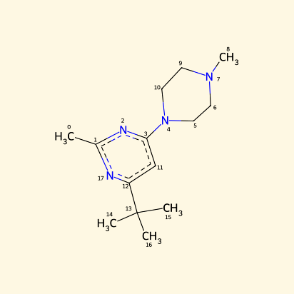 Cc1nc(N2CCN(C)CC2)cc(C(C)(C)C)n1